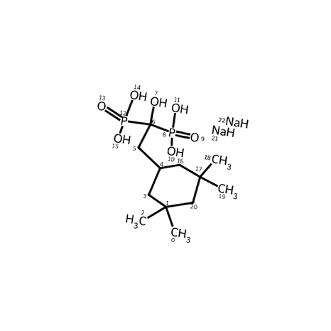 CC1(C)CC(CC(O)(P(=O)(O)O)P(=O)(O)O)CC(C)(C)C1.[NaH].[NaH]